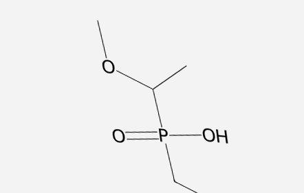 CCP(=O)(O)C(C)OC